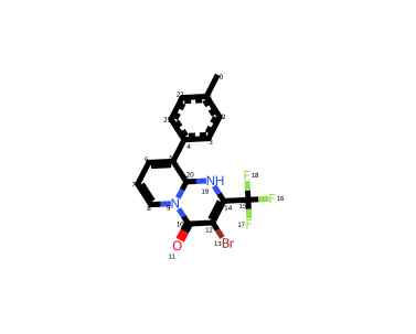 Cc1ccc(C2=CC=CN3C(=O)C(Br)=C(C(F)(F)F)NC23)cc1